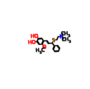 COc1cc(O)c(O)cc1/C=C/C(SCCN(C)C)c1ccccc1